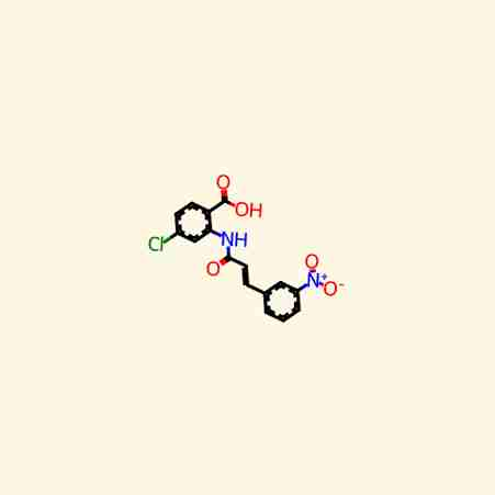 O=C(C=Cc1cccc([N+](=O)[O-])c1)Nc1cc(Cl)ccc1C(=O)O